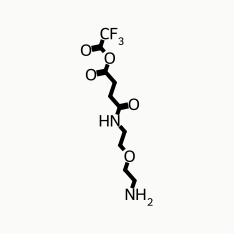 NCCOCCNC(=O)CCC(=O)OC(=O)C(F)(F)F